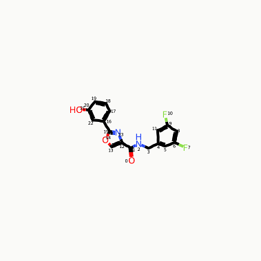 O=C(NCc1cc(F)cc(F)c1)c1coc(-c2cccc(O)c2)n1